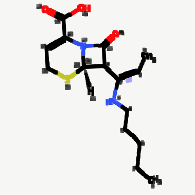 C/C=C(/NCCCCC)C1C(=O)N2C(C(=O)O)=CCS[C@H]12